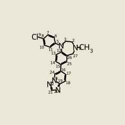 CN1CCN(c2ccc(Cl)cc2)c2ccc(-c3ccc4ncnn4c3)cc2C1